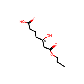 CCCOC(=O)C[C@H](O)CCCC(=O)O